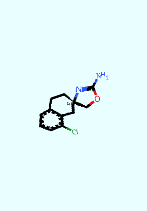 NC1=N[C@]2(CCc3cccc(Cl)c3C2)CO1